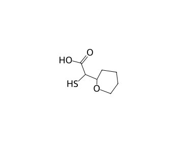 O=C(O)C(S)C1CCCCO1